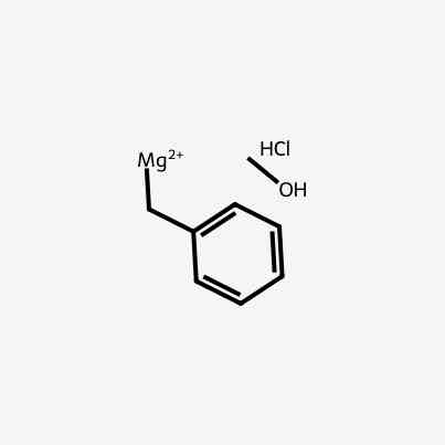 CO.Cl.[Mg+2][CH2]c1ccccc1